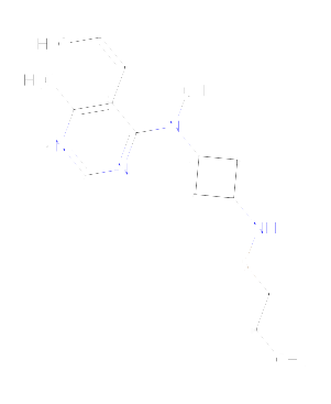 C/C=C\c1c(C)ncnc1N(C)C1CC(NSCCC)C1